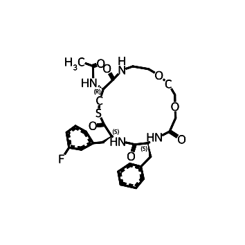 CC(=O)N[C@H]1CSC(=O)[C@H](Cc2cccc(F)c2)NC(=O)[C@H](Cc2ccccc2)NC(=O)COCCOCCNC1=O